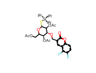 CC(=O)OCC1O[C@@H](S[Si](C(C)C)(C(C)C)C(C)C)C(OC(C)=O)[C@@H](OCc2cc3c(F)c(F)ccc3oc2=O)[C@H]1OC(C)=O